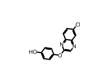 Oc1ccc(Oc2cnc3cc(Cl)ccc3n2)cc1